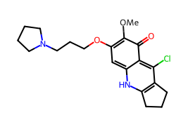 COc1c(OCCCN2CCCC2)cc2[nH]c3c(c(Cl)c-2c1=O)CCC3